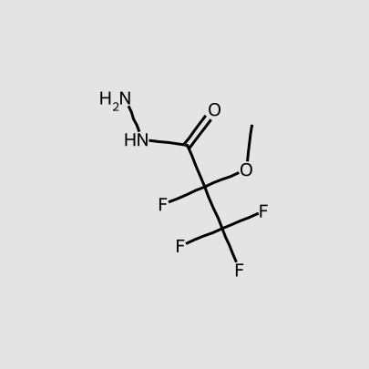 COC(F)(C(=O)NN)C(F)(F)F